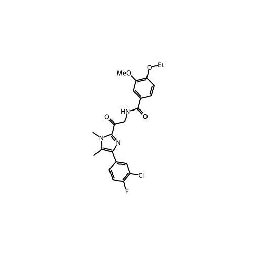 CCOc1ccc(C(=O)NCC(=O)c2nc(-c3ccc(F)c(Cl)c3)c(C)n2C)cc1OC